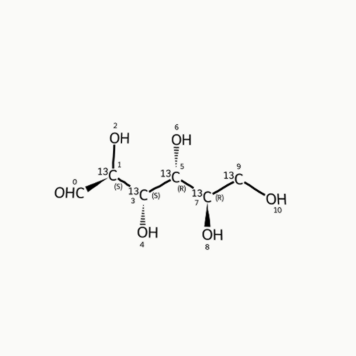 O=[13CH][13C@@H](O)[13C@@H](O)[13C@H](O)[13C@H](O)[13CH2]O